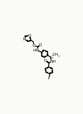 C[C@H](NC(=O)c1ccc(F)cc1)c1ccc(NC(=O)OCc2cnco2)cc1